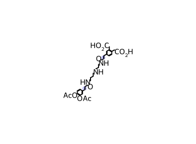 CC(=O)Oc1ccc(/C=C/C(=O)NCCCCNCCCNC(=O)/C=C/c2ccc(CC(=O)O)c(CC(=O)O)c2)cc1OC(C)=O